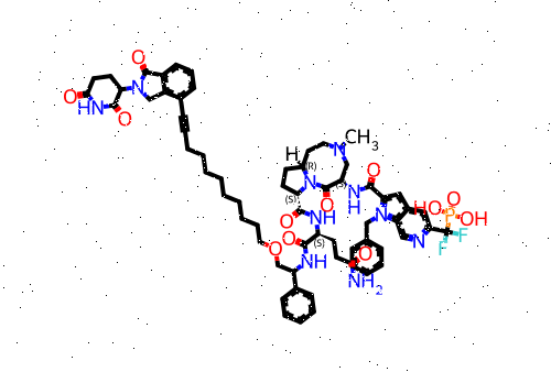 CN1CC[C@H]2CC[C@@H](C(=O)N[C@@H](CCC(N)=O)C(=O)NC(COCCCCCCCCCC#Cc3cccc4c3CN(C3CCC(=O)NC3=O)C4=O)c3ccccc3)N2C(=O)[C@@H](NC(=O)c2cc3cc(C(F)(F)P(=O)(O)O)ncc3n2Cc2ccccc2)C1